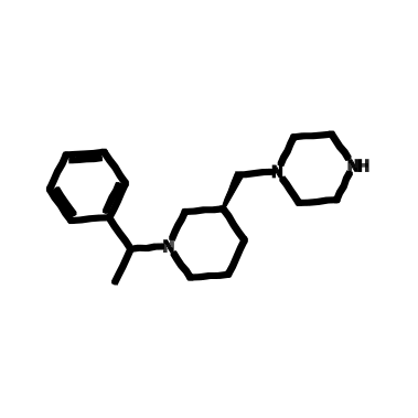 CC(c1ccccc1)N1CCC[C@H](CN2CCNCC2)C1